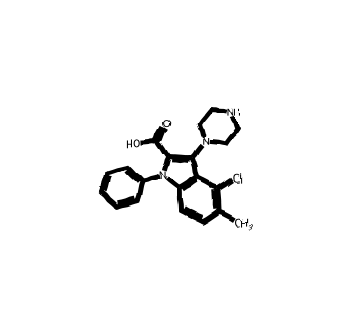 Cc1ccc2c(c1Cl)c(N1CCNCC1)c(C(=O)O)n2-c1ccccc1